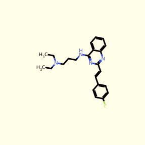 CCN(CC)CCCNc1nc(/C=C/c2ccc(F)cc2)nc2ccccc12